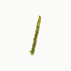 S=S=S=S=S=S=S=S=S=S=S=S=S=S=S=S=S=S=S=S=S=S=S=S=S=S=S=S=S=S=S=S=S(=S)=S